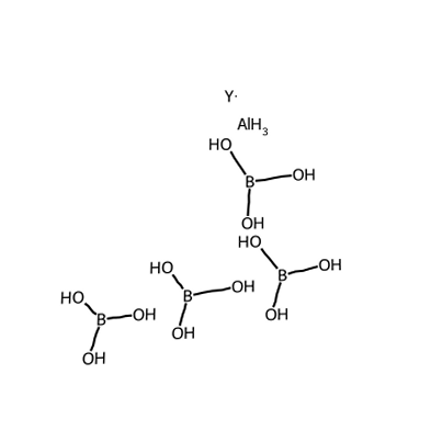 OB(O)O.OB(O)O.OB(O)O.OB(O)O.[AlH3].[Y]